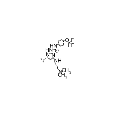 CN(C)CCCNc1cc(C2CC2)nc(NC(=O)Nc2ccc(OC(F)(F)I)cc2)n1